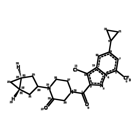 O=C(c1nn2c(C(F)(F)F)cc(C3CC3)cc2c1Cl)N1CCN(C2C[C@@H]3C[C@H]3C2)C(=O)C1